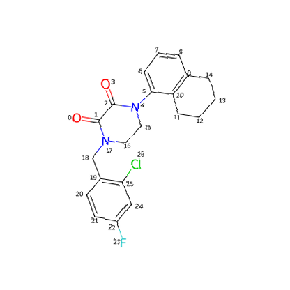 O=C1C(=O)N(c2cccc3c2CCCC3)CCN1Cc1ccc(F)cc1Cl